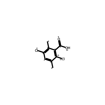 Cc1cc(Cl)c(C)c(C(=O)O)c1Cl